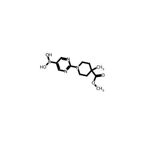 COC(=O)C1(C)CCN(c2ncc(B(O)O)cn2)CC1